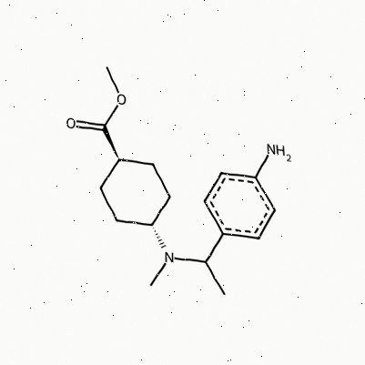 COC(=O)[C@H]1CC[C@H](N(C)C(C)c2ccc(N)cc2)CC1